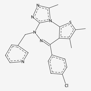 Cc1sc2c(c1C)C(c1ccc(Cl)cc1)=NN(Cc1cccnc1)c1nnc(C)n1-2